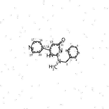 CN(Cc1ccccc1)c1nc(=O)cc(-c2ccncc2)[nH]1